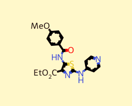 CCOC(=O)c1nc(Nc2ccncc2)sc1NC(=O)c1ccc(OC)cc1